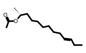 CCC=CCCCCCCC[C@@H](C)OC(C)=O